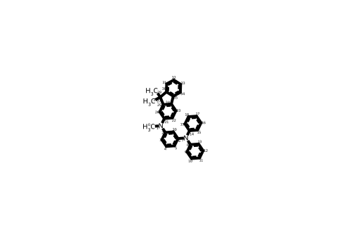 CN(c1cccc(N(c2ccccc2)c2ccccc2)c1)c1ccc2c(c1)C(C)(C)c1ccccc1-2